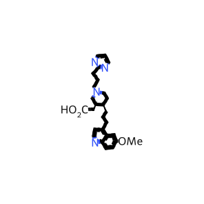 COc1ccc2nccc(CCC[C@@H]3CCN(CCCc4ncccn4)C[C@@H]3CC(=O)O)c2c1